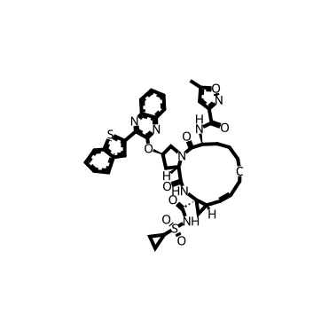 Cc1cc(C(=O)N[C@H]2CCCCCC=C[C@@H]3C[C@@]3(C(=O)NS(=O)(=O)C3CC3)NC(=O)[C@@H]3C[C@@H](Oc4nc5ccccc5nc4-c4cc5ccccc5s4)CN3C2=O)no1